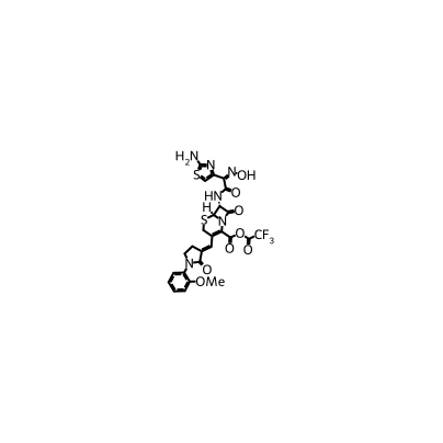 COc1ccccc1N1CCC(=CC2=C(C(=O)OC(=O)C(F)(F)F)N3C(=O)[C@@H](NC(=O)/C(=N\O)c4csc(N)n4)[C@H]3SC2)C1=O